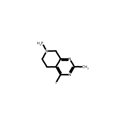 Cc1nc(I)c2c(n1)CN(P)CC2